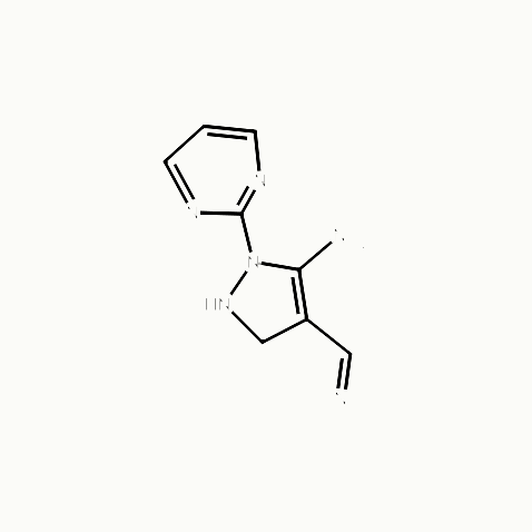 N=CC1=C(N)N(c2ncccn2)NC1